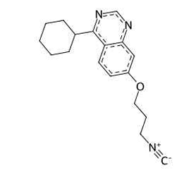 [C-]#[N+]CCCOc1ccc2c(C3CCCCC3)ncnc2c1